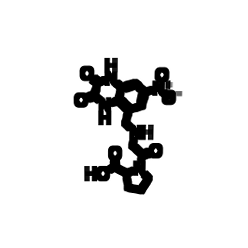 O=C(O)C1CCCN1C(=O)CNCc1cc([N+](=O)[O-])cc2[nH]c(=O)c(=O)[nH]c12